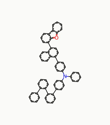 c1ccc(-c2ccccc2-c2ccccc2-c2ccc(N(c3ccccc3)c3ccc(-c4ccc(-c5cccc6c5oc5ccccc56)c5ccccc45)cc3)cc2)cc1